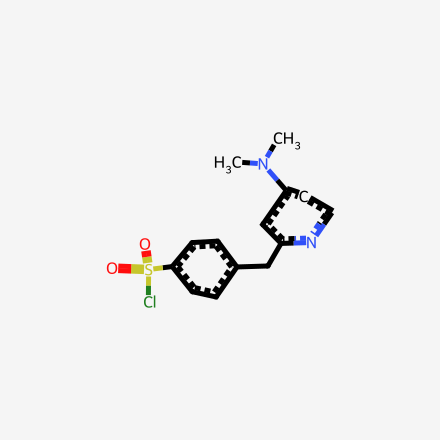 CN(C)c1ccnc(Cc2ccc(S(=O)(=O)Cl)cc2)c1